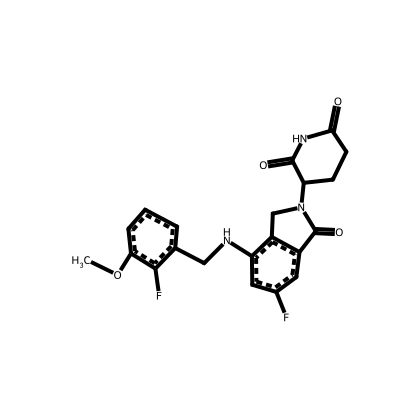 COc1cccc(CNc2cc(F)cc3c2CN(C2CCC(=O)NC2=O)C3=O)c1F